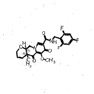 COc1c2n(cc(C(=O)NCc3c(F)cc(F)cc3F)c1=O)C[C@H]1OCCC[C@@]1(C)C2=O